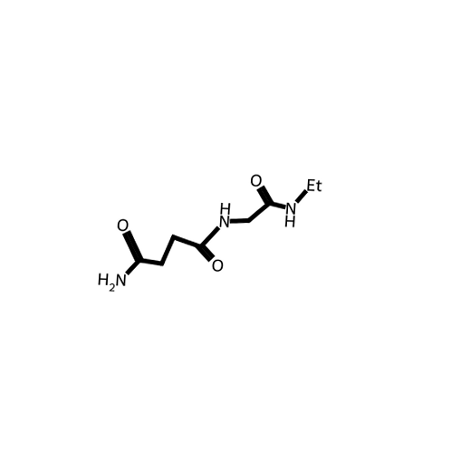 CCNC(=O)CNC(=O)CCC(N)=O